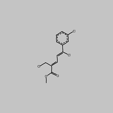 COC(=O)C(=CC=C(Cl)c1cccc(Cl)c1)CCl